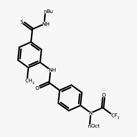 CCCCCCCCN(C(=O)C(F)(F)F)c1ccc(C(=O)Nc2cc(C(=S)NCCCC)ccc2C)cc1